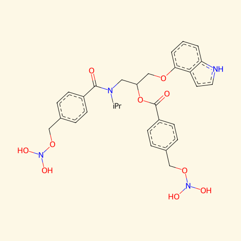 CC(C)N(CC(COc1cccc2[nH]ccc12)OC(=O)c1ccc(CON(O)O)cc1)C(=O)c1ccc(CON(O)O)cc1